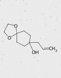 C=CCC1(O)CCC2(CC1)OCCO2